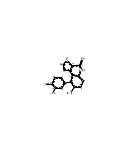 O=c1[nH]c2ccc(O)c(-c3ccc(Cl)c(Cl)c3)c2c2ccsc12